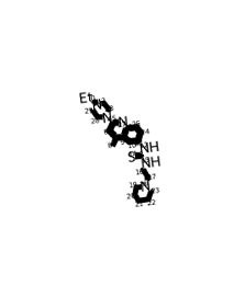 CCN1CCN(c2cc(C)c3cc(NC(=S)NCCN4CCCCC4)ccc3n2)CC1